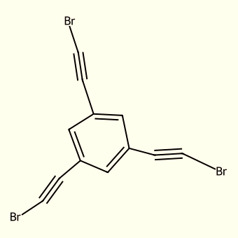 BrC#Cc1cc(C#CBr)cc(C#CBr)c1